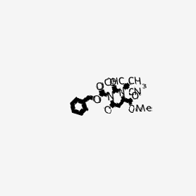 COC(=O)C1CC(=O)N(C(=O)OCc2ccccc2)C(=O)N1C(C)(C#N)C=O